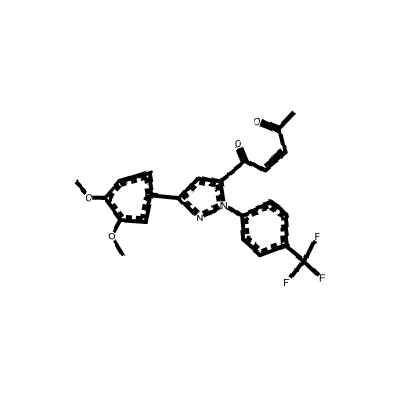 COc1ccc(-c2cc(C(=O)/C=C\C(C)=O)n(-c3ccc(C(F)(F)F)cc3)n2)cc1OC